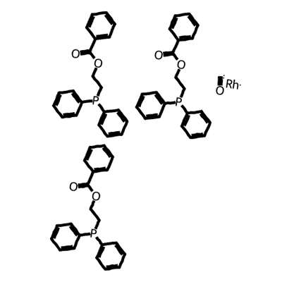 O=C(OCCP(c1ccccc1)c1ccccc1)c1ccccc1.O=C(OCCP(c1ccccc1)c1ccccc1)c1ccccc1.O=C(OCCP(c1ccccc1)c1ccccc1)c1ccccc1.[C]=O.[Rh]